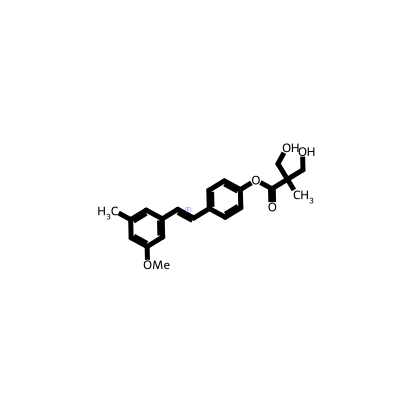 COc1cc(C)cc(/C=C/c2ccc(OC(=O)C(C)(CO)CO)cc2)c1